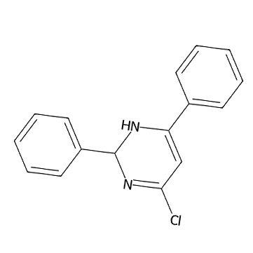 ClC1=NC(c2ccccc2)NC(c2ccccc2)=C1